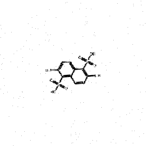 O=S(=O)(O)c1c(O)ccc2c(S(=O)(=O)O)c(O)ccc12